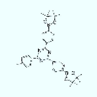 Cc1ccc(-c2nc(-c3ccc(B4OC(C)(C)C(C)(C)O4)cc3)nc(-c3ccc(B4OC(C)(C)C(C)(C)O4)cc3)n2)cc1